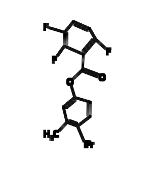 Cc1cc(OC(=O)c2c(F)ccc(F)c2F)ccc1C(C)C